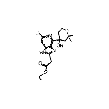 CCOC(=O)Cc1nc2c(C3(O)CCOC(C)(C)C3)nc(Cl)cc2[nH]1